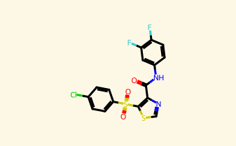 O=C(Nc1ccc(F)c(F)c1)c1ncsc1S(=O)(=O)c1ccc(Cl)cc1